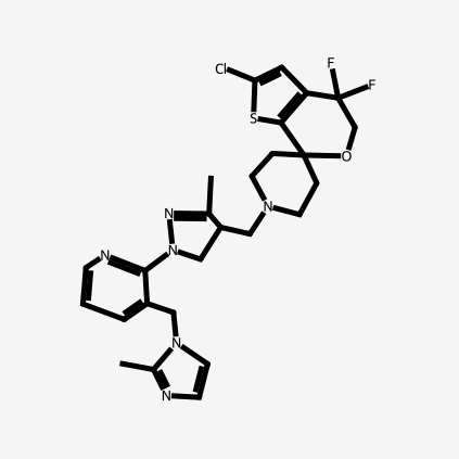 CC1=NN(c2ncccc2Cn2ccnc2C)CC1CN1CCC2(CC1)OCC(F)(F)c1cc(Cl)sc12